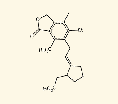 CCc1c(C)c2c(c(C(=O)O)c1C/C=C1\CCCC1CC(=O)O)C(=O)OC2